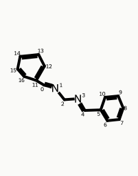 C(=N\C/N=C/c1ccccc1)/c1ccccc1